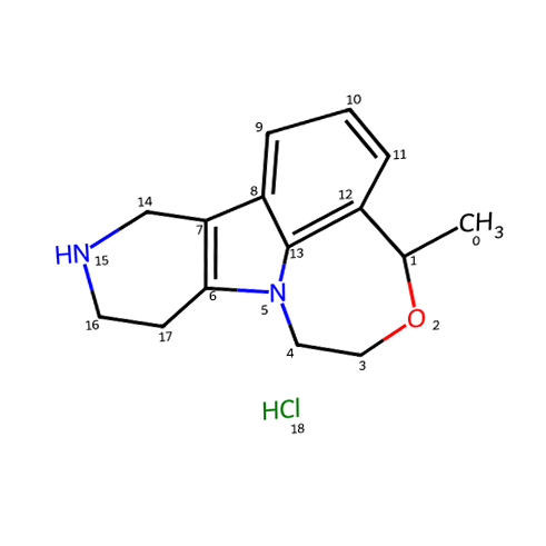 CC1OCCn2c3c(c4cccc1c42)CNCC3.Cl